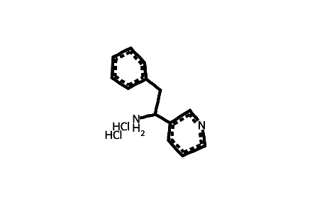 Cl.Cl.NC(Cc1ccccc1)c1cccnc1